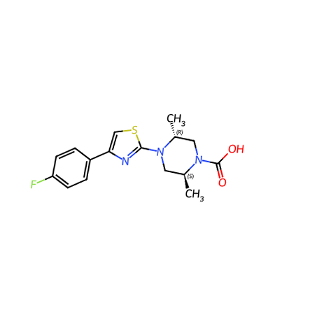 C[C@@H]1CN(C(=O)O)[C@@H](C)CN1c1nc(-c2ccc(F)cc2)cs1